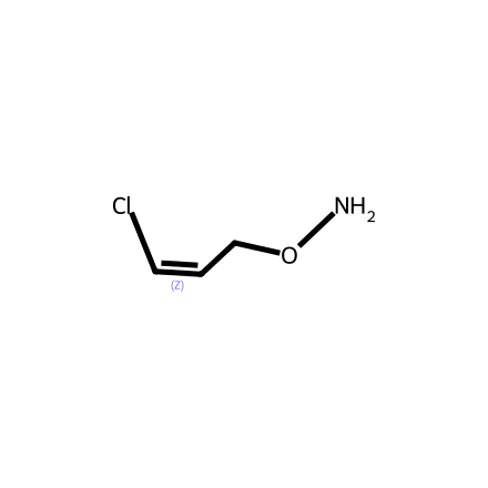 NOC/C=C\Cl